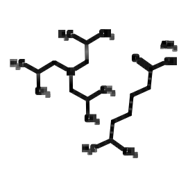 CC(C)CCCCC(=O)O.CC(C)[CH2][Ni]([CH2]C(C)C)[CH2]C(C)C.[AlH3]